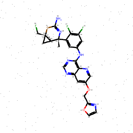 C[C@]1(c2cc(Nc3ncnc4cc(OCc5ncco5)cnc34)cc(F)c2F)N=C(N)S[C@@]2(CF)C[C@H]21